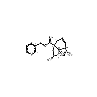 CCCCCC(CCC)CC1(C(=O)OCc2ccccc2)CC=CC(C)C1C(=O)O